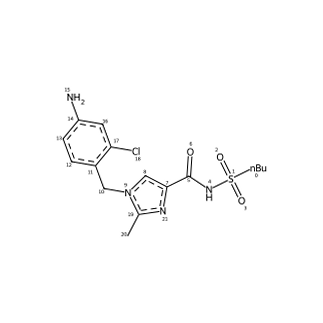 CCCCS(=O)(=O)NC(=O)c1cn(Cc2ccc(N)cc2Cl)c(C)n1